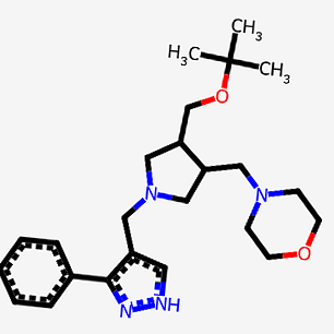 CC(C)(C)OCC1CN(Cc2c[nH]nc2-c2ccccc2)CC1CN1CCOCC1